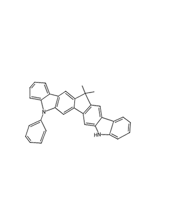 CC1(C)c2cc3c(cc2-c2cc4c(cc21)c1ccccc1n4-c1ccccc1)[nH]c1ccccc13